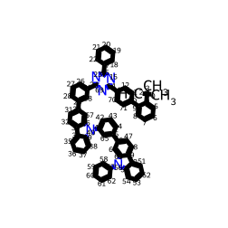 CC(C)(C)c1ccccc1-c1ccc(-c2nc(-c3ccccc3)nc(-c3cccc(-c4ccc5c6ccccc6n(-c6cccc(-c7ccc8c9ccccc9n(-c9ccccc9)c8c7)c6)c5c4)c3)n2)cc1